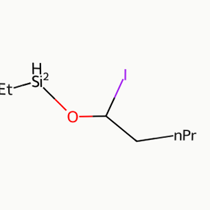 CCCCC(I)O[SiH2]CC